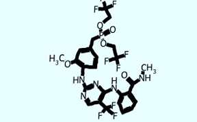 CNC(=O)c1ccccc1Nc1nc(Nc2ccc(CP(=O)(OCC(F)(F)F)OCC(F)(F)F)cc2OC)ncc1C(F)(F)F